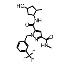 CNC(=O)c1cc(C(=O)NC2CC(O)CC2C)n(Cc2cccc(C(F)(F)F)c2)n1